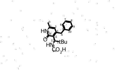 Cc1cc(Cc2ccccc2)c(C(NC(=O)O)C(C)(C)C)c(=O)[nH]1